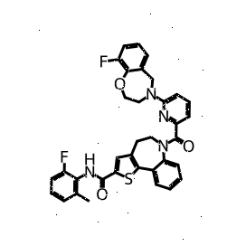 Cc1cccc(F)c1NC(=O)c1cc2c(s1)-c1ccccc1N(C(=O)c1cccc(N3CCOc4c(F)cccc4C3)n1)CC2